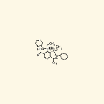 C=CC(N)(Sc1ccccc1)c1c(C(=O)O)ccc(C(=O)O)c1C(N)(C=C)Sc1ccccc1